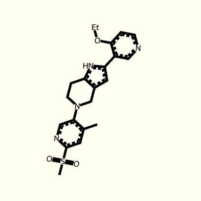 CCOc1ccncc1-c1cc2c([nH]1)CCN(c1cnc(S(C)(=O)=O)cc1C)C2